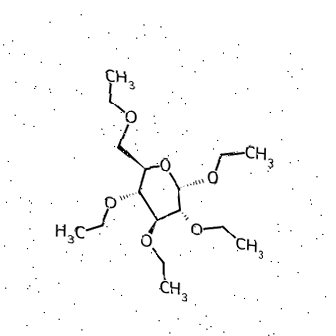 CCOC[C@H]1O[C@H](OCC)[C@H](OCC)[C@@H](OCC)[C@@H]1OCC